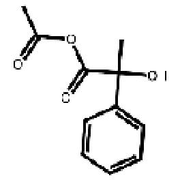 CC(=O)OC(=O)C(C)(O)c1ccccc1